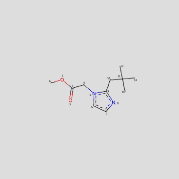 COC(=O)Cn1ccnc1CC(C)(C)C